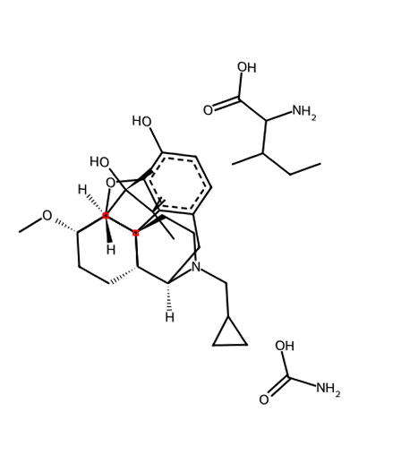 CCC(C)C(N)C(=O)O.CO[C@@]12CC[C@@]3(C[C@@H]1[C@](C)(O)C(C)(C)C)[C@H]1Cc4ccc(O)c5c4[C@@]3(CCN1CC1CC1)[C@H]2O5.NC(=O)O